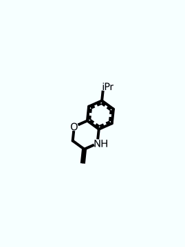 C=C1COc2cc(C(C)C)ccc2N1